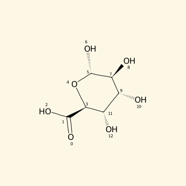 O=C(O)[C@H]1O[C@H](O)[C@@H](O)[C@H](O)[C@@H]1O